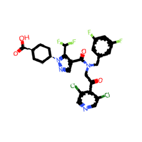 O=C(CN(Cc1cc(F)cc(F)c1)C(=O)c1cnn([C@H]2CC[C@H](C(=O)O)CC2)c1C(F)F)c1c(Cl)cncc1Cl